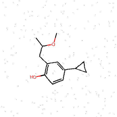 COC(C)Cc1cc(C2CC2)ccc1O